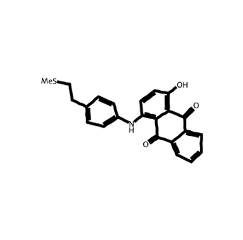 CSCCc1ccc(Nc2ccc(O)c3c2C(=O)c2ccccc2C3=O)cc1